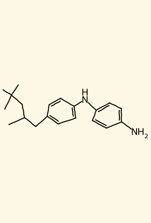 CC(Cc1ccc(Nc2ccc(N)cc2)cc1)CC(C)(C)C